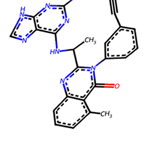 C#Cc1cccc(-n2c(C(C)Nc3nc(N)nc4[nH]cnc34)nc3cccc(C)c3c2=O)c1